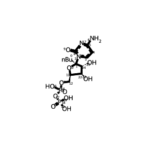 CCCC[C@@]1(n2ccc(N)nc2=O)O[C@H](COP(=O)(O)OP(=O)(O)O)[C@@H](O)[C@H]1O